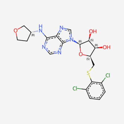 O[C@@H]1[C@H](O)[C@H](n2cnc3c(N[C@@H]4CCOC4)ncnc32)O[C@@H]1CSc1c(Cl)cccc1Cl